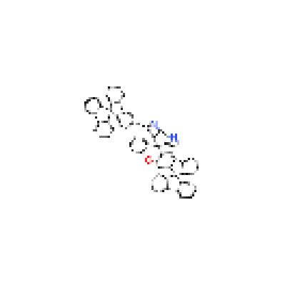 c1ccc2c(c1)Oc1cc3c(cc1C21c2cccnc2-c2ncc(-c4ccc5c(c4)-c4ccccc4C54c5ccccc5-c5ccccc54)cc21)-c1ccccc1C31c2ccccc2-c2ccccc21